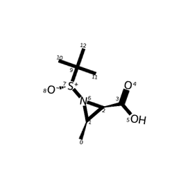 C[C@@H]1[C@H](C(=O)O)N1[S@+]([O-])C(C)(C)C